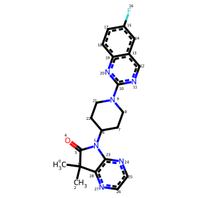 CC1(C)C(=O)N(C2CCN(c3ncc4cc(F)ccc4n3)CC2)c2nccnc21